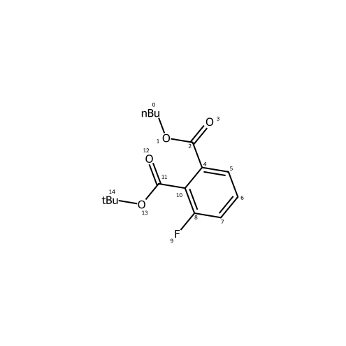 CCCCOC(=O)c1cccc(F)c1C(=O)OC(C)(C)C